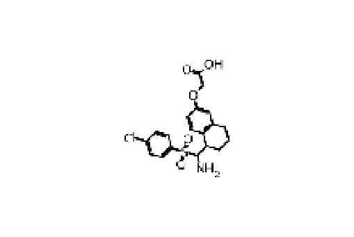 NC(C1CCCc2cc(OCC(=O)O)ccc21)S(=O)(=O)c1ccc(Cl)cc1